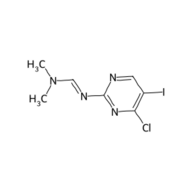 CN(C)/C=N/c1ncc(I)c(Cl)n1